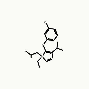 CC[N+]1(CNC)C=NC(C(C)C)=C1Sc1cccc(Cl)c1